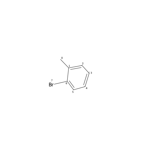 Cc1c[c]ccc1Br